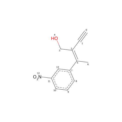 C#CC(CO)=C(C)c1cccc([N+](=O)[O-])c1